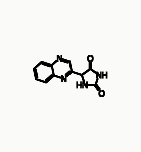 O=C1NC(=O)C(c2cnc3ccccc3n2)N1